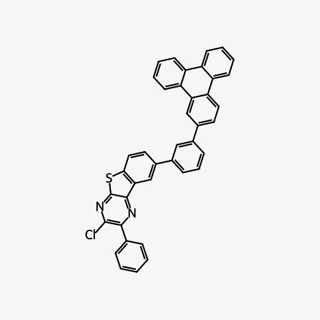 Clc1nc2sc3ccc(-c4cccc(-c5ccc6c7ccccc7c7ccccc7c6c5)c4)cc3c2nc1-c1ccccc1